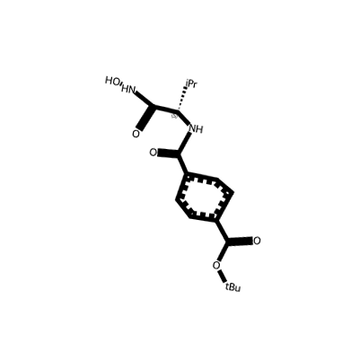 CC(C)[C@H](NC(=O)c1ccc(C(=O)OC(C)(C)C)cc1)C(=O)NO